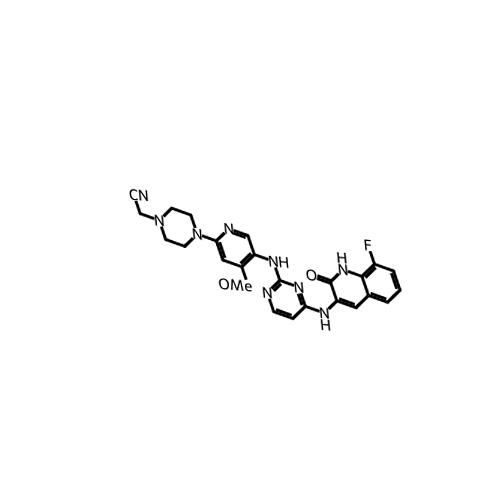 COc1cc(N2CCN(CC#N)CC2)ncc1Nc1nccc(Nc2cc3cccc(F)c3[nH]c2=O)n1